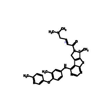 Cc1ccc(Oc2ccc(Nc3ncnc4sc5c(c34)CN(C(=O)/C=C/CN(C)C)[C@H]5C)cc2C)cn1